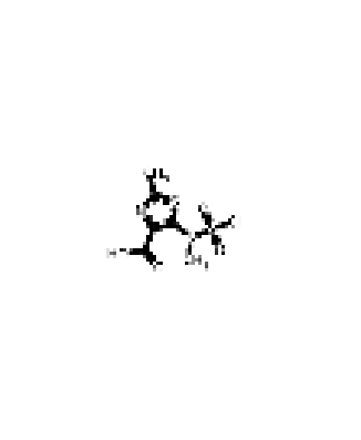 Cc1nc(C(=O)O)c(N(C)S(C)(=O)=O)s1